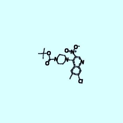 Cc1cc2c(N3CCN(C(=O)OC(C)(C)C)CC3)c([N+](=O)[O-])cnc2cc1Cl